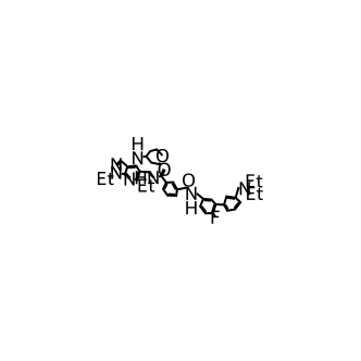 CCc1nc2c(cnn2CC)c(NC2CCOCC2)c1CNC(=O)c1cccc(C(=O)NCc2ccc(F)c(-c3cccc(CN(CC)CC)c3)c2)c1